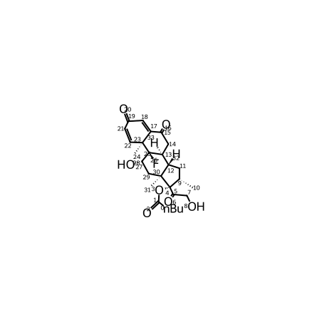 CCCCC(=O)O[C@@]1(C(=O)CO)[C@@H](C)C[C@H]2[C@@H]3CC(=O)C4=CC(=O)C=C[C@]4(C)[C@@]3(F)[C@@H](O)C[C@@]21C